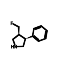 FC[C@@H]1CNC[C@H]1c1ccccc1